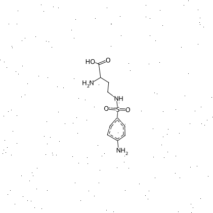 Nc1ccc(S(=O)(=O)NCCC(N)C(=O)O)cc1